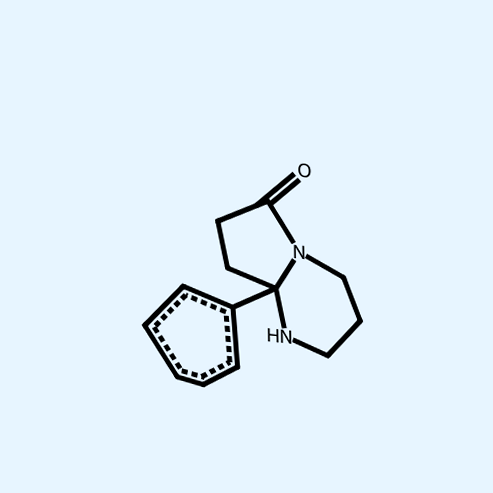 O=C1CCC2(c3ccccc3)NCCCN12